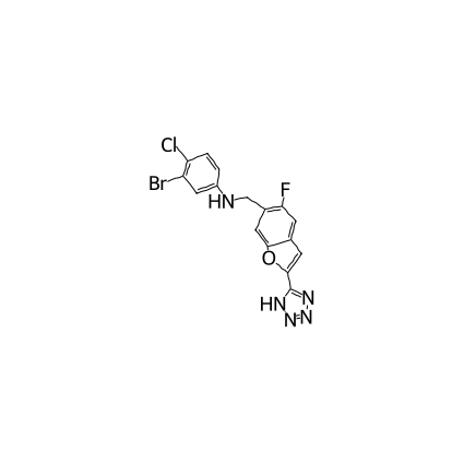 Fc1cc2cc(-c3nnn[nH]3)oc2cc1CNc1ccc(Cl)c(Br)c1